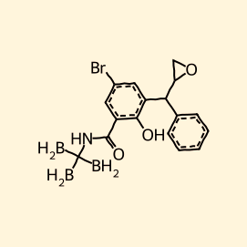 BC(B)(B)NC(=O)c1cc(Br)cc(C(c2ccccc2)C2CO2)c1O